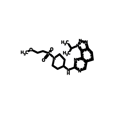 COCCS(=O)(=O)N1CCC(Nc2ncc3ccc4nnn(C(C)C)c4c3n2)CC1